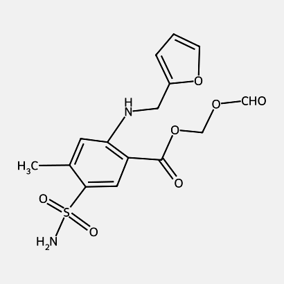 Cc1cc(NCc2ccco2)c(C(=O)OCOC=O)cc1S(N)(=O)=O